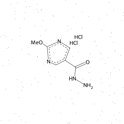 COc1ncc(C(=O)NN)cn1.Cl.Cl